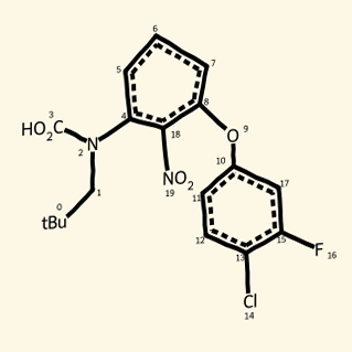 CC(C)(C)CN(C(=O)O)c1cccc(Oc2ccc(Cl)c(F)c2)c1[N+](=O)[O-]